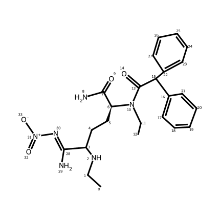 CCNC(CC[C@@H](C(N)=O)N(CC)C(=O)C(c1ccccc1)c1ccccc1)C(N)=N[N+](=O)[O-]